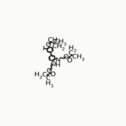 C=C(C)C(=C)Oc1ccc(-c2ccc(OCCOC(=O)C(=C)C)c(NCCOC(=O)C(=C)C)c2)cc1I